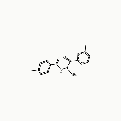 Cc1ccc(C(=O)NN(C(=O)c2cccc(C)c2)C(C)(C)C)cc1